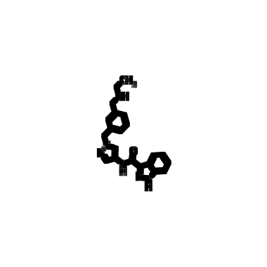 CCNCc1cccc(Cn2cc(NC(=O)c3n[nH]c4ccccc34)cn2)c1